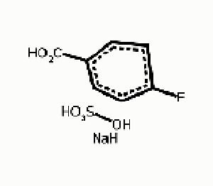 O=C(O)c1ccc(F)cc1.O=S(=O)(O)O.[NaH]